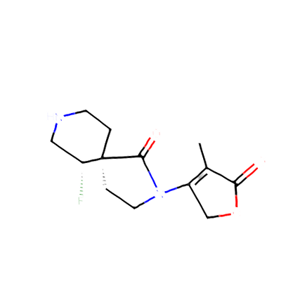 CC1=C(N2CC[C@]3(CCNC[C@H]3F)C2=O)COC1=O